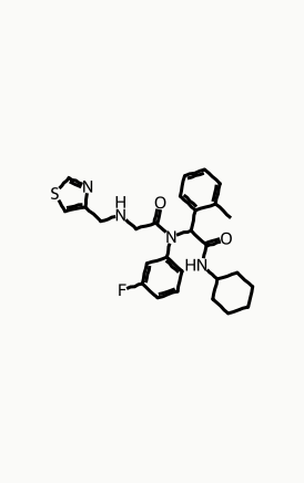 Cc1ccccc1C(C(=O)NC1CCCCC1)N(C(=O)CNCc1cscn1)c1cccc(F)c1